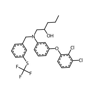 CCCC(O)CN(Cc1cccc(SC(F)(F)F)c1)c1cccc(Oc2cccc(Cl)c2Cl)c1